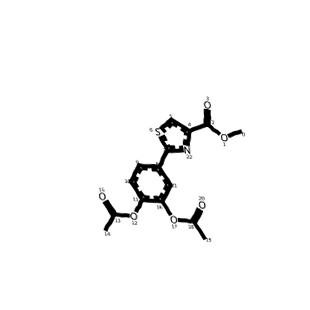 COC(=O)c1csc(-c2ccc(OC(C)=O)c(OC(C)=O)c2)n1